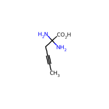 CC#CCC(N)(N)C(=O)O